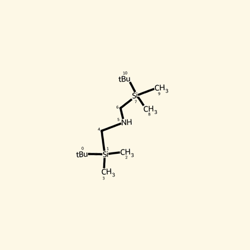 CC(C)(C)[Si](C)(C)CNC[Si](C)(C)C(C)(C)C